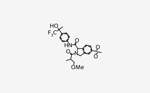 COCC(C)C(=O)N1Cc2cc(S(C)(=O)=O)ccc2C1C(=O)Nc1ccc(C(C)(O)C(F)(F)F)cc1